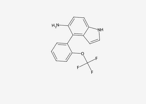 Nc1ccc2[nH]ccc2c1-c1ccccc1OC(F)(F)F